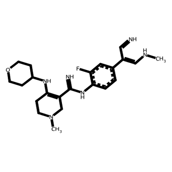 CN/C=C(\C=N)c1ccc(NC(=N)C2=C(NC3CCOCC3)CCN(C)C2)c(F)c1